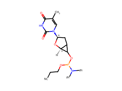 Cc1cn([C@H]2CC3C(OP(OCCC#N)N(C(C)C)C(C)C)[C@H]3O2)c(=O)[nH]c1=O